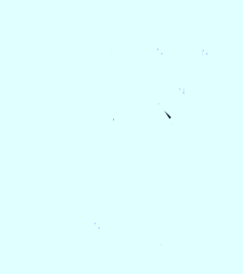 Cc1cncc(-c2csc([C@@]3(C)NC(=N)N(C)C(=O)C3c3ccc4ccoc4c3)c2)c1